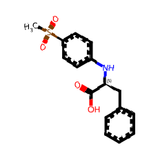 CS(=O)(=O)c1ccc(N[C@@H](Cc2ccccc2)C(=O)O)cc1